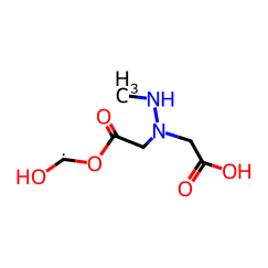 CNN(CC(=O)O)CC(=O)O[CH]O